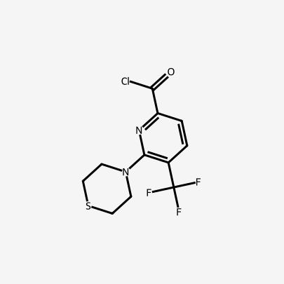 O=C(Cl)c1ccc(C(F)(F)F)c(N2CCSCC2)n1